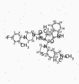 Cc1cc(F)ccc1N1CCN(C(=O)N[C@@H](C(=O)N2CCSc3ccc(CN(C)C)cc32)[C@H](C)c2c[nH]c3ccccc23)CC1